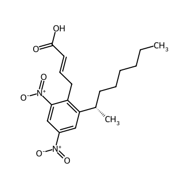 CCCCCC[C@H](C)c1cc([N+](=O)[O-])cc([N+](=O)[O-])c1C/C=C/C(=O)O